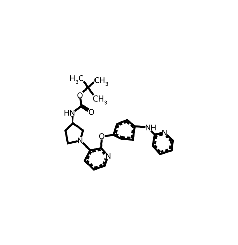 CC(C)(C)OC(=O)N[C@@H]1CCN(c2cccnc2Oc2ccc(Nc3ccccn3)cc2)C1